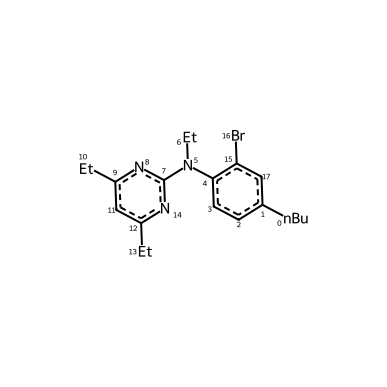 CCCCc1ccc(N(CC)c2nc(CC)cc(CC)n2)c(Br)c1